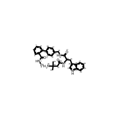 CCNC(=O)c1ccccc1-c1ccc(CNC(=O)C(Cc2c[nH]c3ccccc23)NC(=O)CC(C)(C)N)cc1